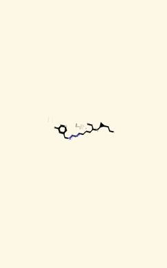 C=C(C)CCC1CC1C(C)C1CC(=C)NC(C/C=C/C=C(\C)Cc2cc(C)c(C)c(CC)c2)C1